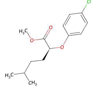 COC(=O)[C@H](CCC(C)C)Oc1ccc(Cl)cc1